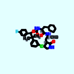 CC(C)(c1cccc(Cl)c1)C(OC(=O)N[C@@H](CC1CCCCC1)C(=O)N[C@H](C=O)C[C@@H]1CCNC1=O)c1ccc(F)cc1